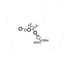 COC(OC)C1CCN(c2ccc(C3=C(C=C(C)C)CC(F)(F)c4cc(OCc5ccccc5)ccc43)cc2)CC1